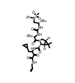 C=CCNC(=O)C(=O)C(CC1CC1)NC(=O)[C@@H]1[C@@H]2[C@H](CN1C(=O)[C@@H](NC(=O)N[C@H](CN(C(C)C)S(C)(=O)=O)C(C)(C)C)C(C)(C)C)C2(C)C